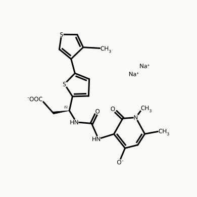 Cc1cscc1-c1ccc([C@H](CC(=O)[O-])NC(=O)Nc2c([O-])cc(C)n(C)c2=O)s1.[Na+].[Na+]